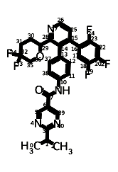 CC(C)c1ncc(C(=O)Nc2ccc(-c3c(-c4cc(F)c(F)cc4F)ccnc3C3CCC(F)(F)CO3)cc2)cn1